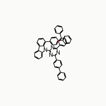 c1ccc(-c2ccc(-c3nc(-c4cccc(-c5ccccc5)c4)nc(-n4c5ccccc5c5cccc(-c6ccc(-c7ccccc7)cc6)c54)n3)cc2)cc1